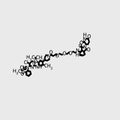 Cc1cc(Nc2ncc(Cl)c(Nc3ccccc3S(=O)(=O)C(C)C)n2)c(OC(C)C)cc1C1CCN(C(=O)CCOCCOCCOCCNc2cccc3c2C(=O)N(C2CCC(=O)NC2=O)C3=O)CC1